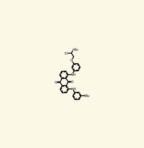 CCCCC(CC)COc1cccc(Nc2cccc3c2C(=O)c2c(Nc4cccc(C(C)CC)c4)cccc2C3=O)c1